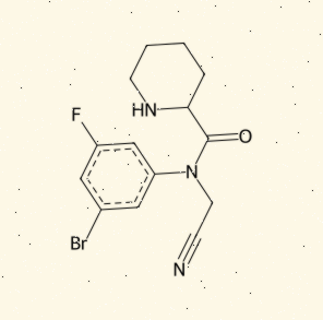 N#CCN(C(=O)C1CCCCN1)c1cc(F)cc(Br)c1